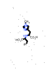 CC(C)CC(N[C@H](Cc1cn(C)cn1)C(=O)O)C(=O)O